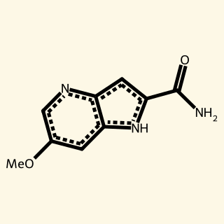 COc1cnc2cc(C(N)=O)[nH]c2c1